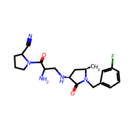 C[C@@H]1C[C@H](NCC(N)C(=O)N2CCCC2C#N)C(=O)N1Cc1cccc(F)c1